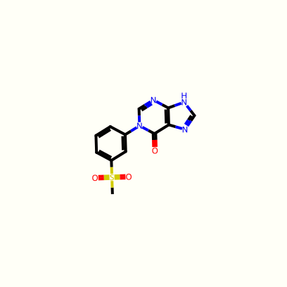 CS(=O)(=O)c1cccc(-n2cnc3[nH]cnc3c2=O)c1